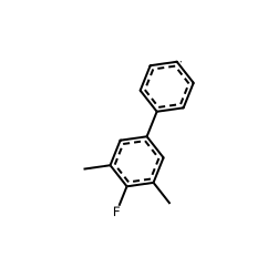 Cc1cc(-c2cc[c]cc2)cc(C)c1F